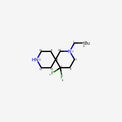 CC(C)(C)CN1CCC(F)(F)C2(CCNCC2)C1